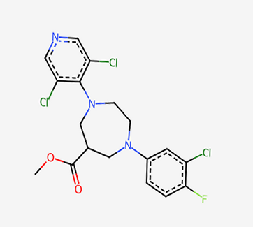 COC(=O)C1CN(c2ccc(F)c(Cl)c2)CCN(c2c(Cl)cncc2Cl)C1